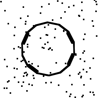 [C]1=CCCC=CCC=CCCCC=C1